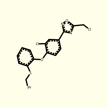 CC(C)CSc1ccccc1Oc1ccc(-c2noc(CCl)n2)cc1Cl